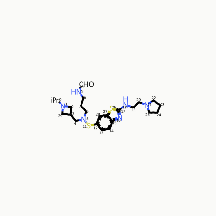 CC(C)N1CC(CN(CCCNC=O)Sc2ccc3nc(NCCN4CCCC4)sc3c2)C1